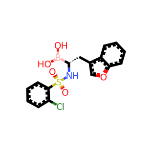 O=S(=O)(N[C@@H](Cc1coc2ccccc12)B(O)O)c1ccccc1Cl